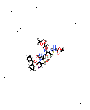 CC(C)(C)OC(=O)Nc1nc(C(=NOC(C)(C)C(=O)OC(C)(C)C)C(=O)N[C@@H]2C(=O)N3C(C(=O)OC(c4ccccc4)c4ccccc4)=C(CI)C[S@@+]([O-])[C@H]23)c(Cl)s1